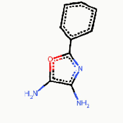 Nc1nc(-c2ccccc2)oc1N